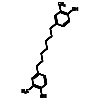 Cc1cc(CCCCCCCc2ccc(O)c(C)c2)ccc1O